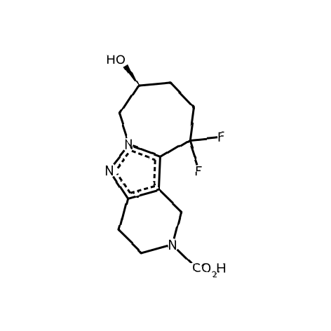 O=C(O)N1CCc2nn3c(c2C1)C(F)(F)CC[C@H](O)C3